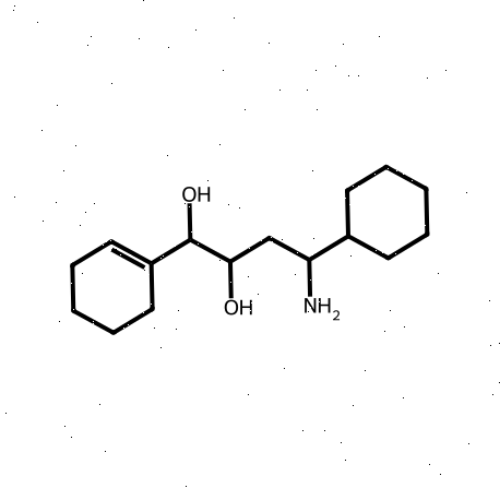 NC(CC(O)C(O)C1=CCCCC1)C1CCCCC1